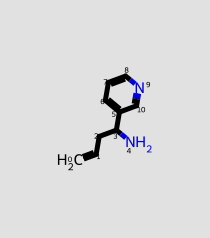 C=CCC(N)c1cccnc1